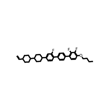 C=CC1CCC(C2CCC(c3ccc(-c4ccc(-c5ccc(OCCCC)c(F)c5F)cc4)c(F)c3)CC2)CC1